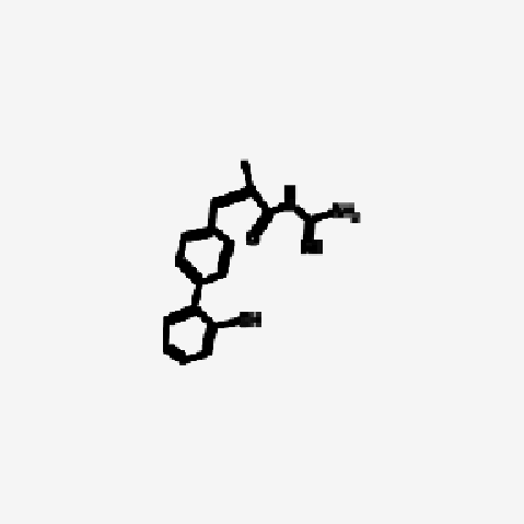 CC(=Cc1ccc(-c2ccccc2O)cc1)C(=O)NC(=N)N